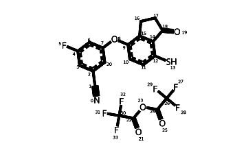 N#Cc1cc(F)cc(Oc2ccc(S)c3c2CCC3=O)c1.O=C(OC(=O)C(F)(F)F)C(F)(F)F